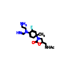 CC(=O)NCC1CN(C2(C)C=C(F)C(N(C=N)CCN)=CC2)C(=O)O1